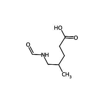 CC(CCC(=O)O)CNC=O